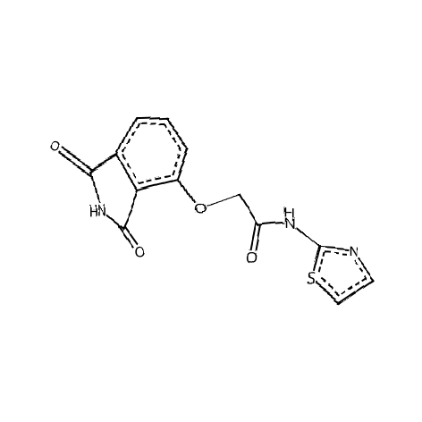 O=C(COc1cccc2c1C(=O)NC2=O)Nc1nccs1